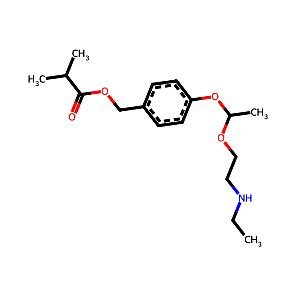 CCNCCOC(C)Oc1ccc(COC(=O)C(C)C)cc1